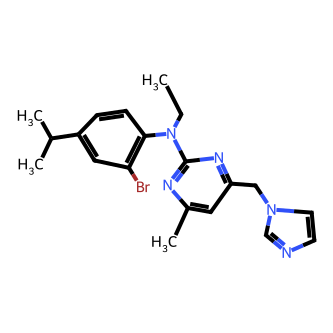 CCN(c1nc(C)cc(Cn2ccnc2)n1)c1ccc(C(C)C)cc1Br